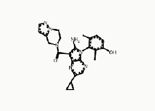 Cc1ccc(O)c(C)c1-n1c(N)c(C(=O)N2CCn3nccc3C2)c2nc(C3CC3)cnc21